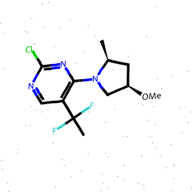 CO[C@@H]1C[C@H](C)N(c2nc(Cl)ncc2C(C)(F)F)C1